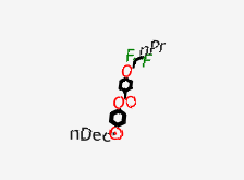 CCCCCCCCCCOc1ccc(OC(=O)c2ccc(OCC(F)C(F)CCC)cc2)cc1